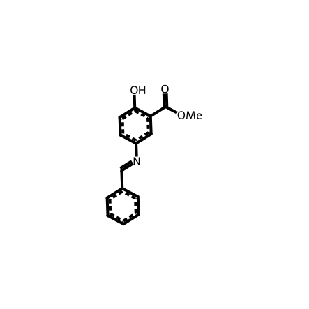 COC(=O)c1cc(/N=C/c2ccccc2)ccc1O